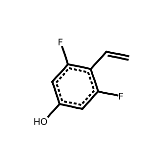 C=Cc1c(F)cc(O)cc1F